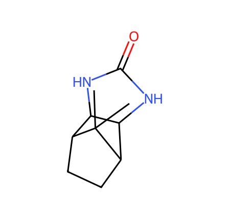 CC1(C)C2CCC1C1NC(=O)NC12